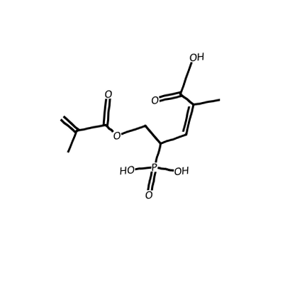 C=C(C)C(=O)OCC(C=C(C)C(=O)O)P(=O)(O)O